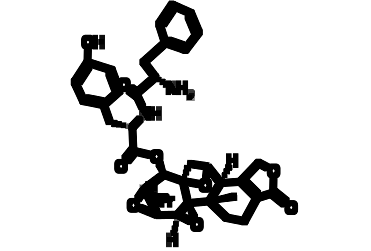 CC(C)[C@]12O[C@H]1[C@@H]1O[C@@]13[C@@]1(C)CCC4=C(COC4=O)[C@@H]1C1C[C@@]3(O1)[C@@H]2OC(=O)[C@H](Cc1ccc(O)cc1)NC(=O)[C@@H](N)Cc1ccccc1